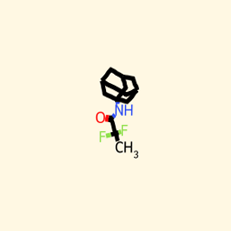 CC(F)(F)C(=O)NC12CC3CC(CC(C3)C1)C2